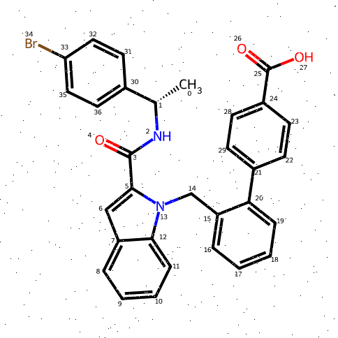 C[C@H](NC(=O)c1cc2ccccc2n1Cc1ccccc1-c1ccc(C(=O)O)cc1)c1ccc(Br)cc1